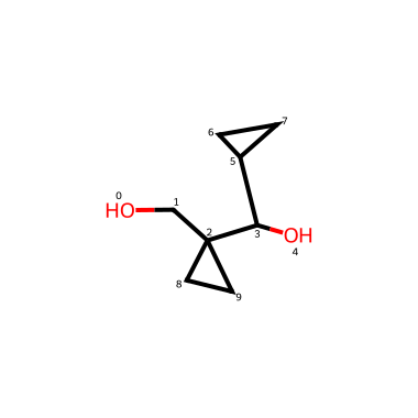 OCC1(C(O)C2CC2)CC1